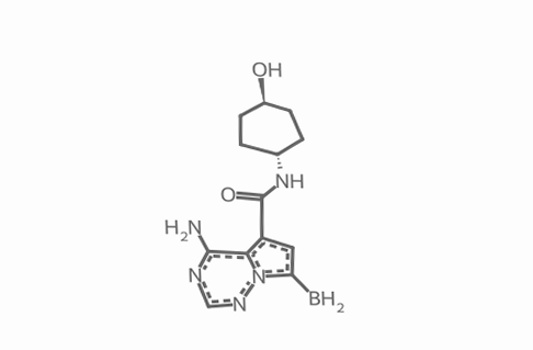 Bc1cc(C(=O)N[C@H]2CC[C@H](O)CC2)c2c(N)ncnn12